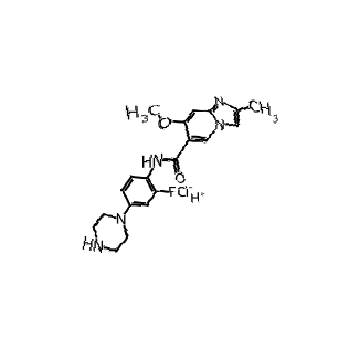 COc1cc2nc(C)cn2cc1C(=O)Nc1ccc(N2CCNCC2)cc1F.[Cl-].[H+]